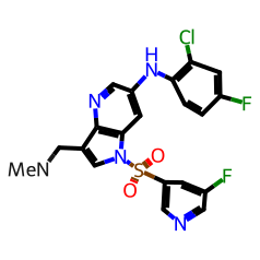 CNCc1cn(S(=O)(=O)c2cncc(F)c2)c2cc(Nc3ccc(F)cc3Cl)cnc12